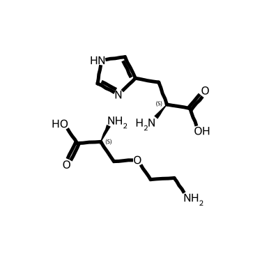 NCCOC[C@H](N)C(=O)O.N[C@@H](Cc1c[nH]cn1)C(=O)O